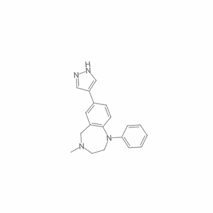 CN1CCN(c2ccccc2)c2ccc(-c3cn[nH]c3)cc2C1